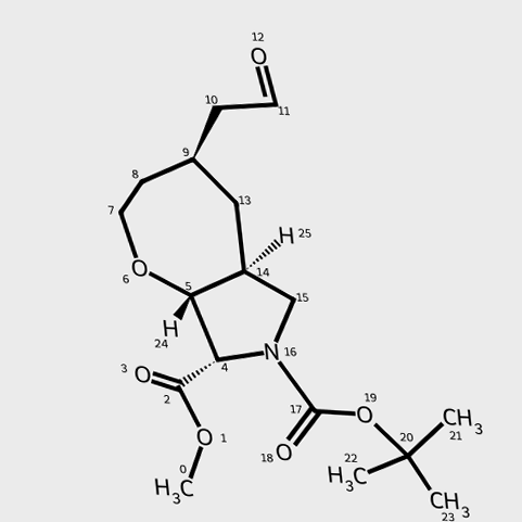 COC(=O)[C@@H]1[C@@H]2OCC[C@@H](CC=O)C[C@H]2CN1C(=O)OC(C)(C)C